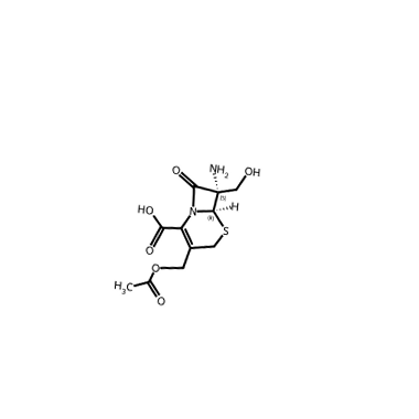 CC(=O)OCC1=C(C(=O)O)N2C(=O)[C@@](N)(CO)[C@H]2SC1